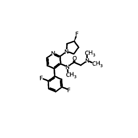 CN(C)CC(=O)N(C)c1c(-c2cc(F)ccc2F)ccnc1N1CC[C@H](F)C1